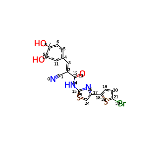 N#C/C(=C\c1ccc(O)c(O)c1)C(=O)Nc1nc(-c2ccc(Br)s2)cs1